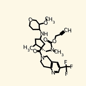 C#CCOC(=O)N(C)C[C@@]1(C(=O)N2CCc3ncc(C(F)(F)F)cc3C2)CC(NC2CCOCC2OC)CC1C